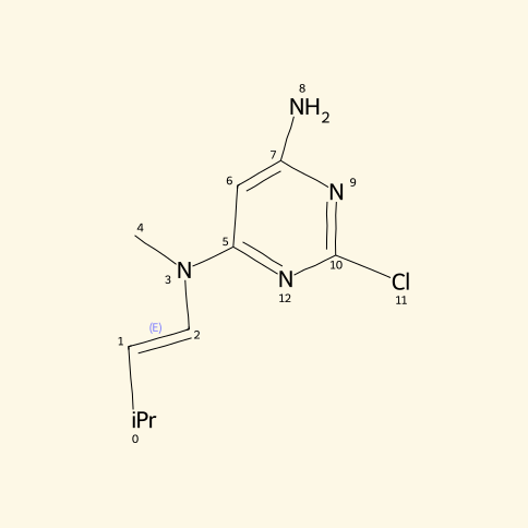 CC(C)/C=C/N(C)c1cc(N)nc(Cl)n1